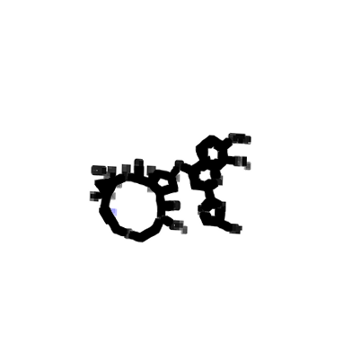 COc1ccc2c(O[C@H]3CC4C(=O)N(C)CCCC/C=C\[C@@H]5C[C@@]5(C(=O)O)NC(=O)[C@@H]4C3)cc(-c3nc(C(C)C)cs3)nc2c1C